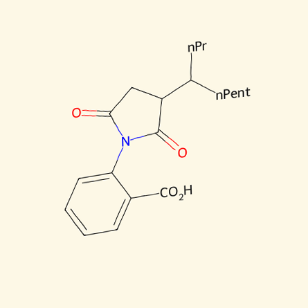 CCCCCC(CCC)C1CC(=O)N(c2ccccc2C(=O)O)C1=O